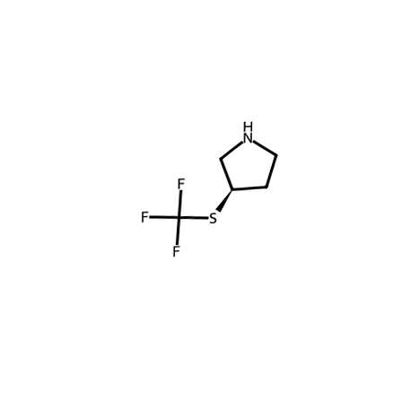 FC(F)(F)S[C@@H]1CCNC1